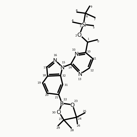 CC(O[Si](C)(C)C(C)(C)C)c1ccnc(-n2ncc3ccc(B4OC(C)(C)C(C)(C)O4)cc32)n1